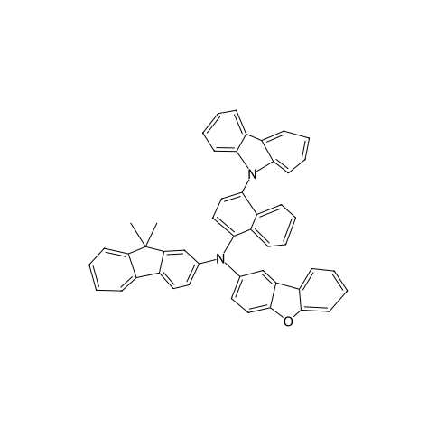 CC1(C)c2ccccc2-c2ccc(N(c3ccc4oc5ccccc5c4c3)c3ccc(-n4c5ccccc5c5ccccc54)c4ccccc34)cc21